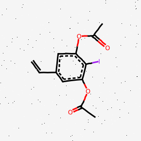 C=Cc1cc(OC(C)=O)c(I)c(OC(C)=O)c1